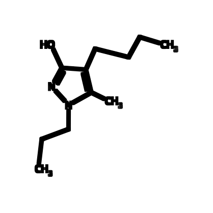 CCCCc1c(O)nn(CCC)c1C